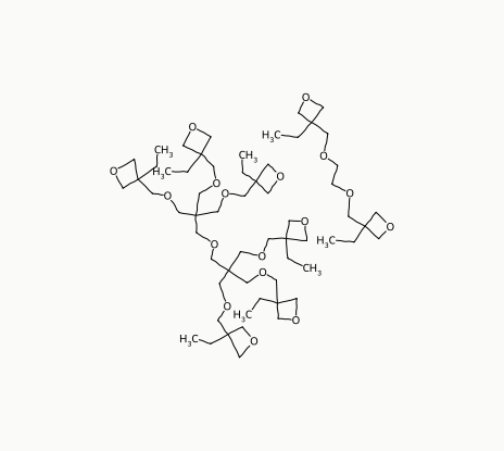 CCC1(COCC(COCC2(CC)COC2)(COCC2(CC)COC2)COCC(COCC2(CC)COC2)(COCC2(CC)COC2)COCC2(CC)COC2)COC1.CCC1(COCCOCC2(CC)COC2)COC1